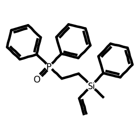 C=C[Si](C)(CCP(=O)(c1ccccc1)c1ccccc1)c1ccccc1